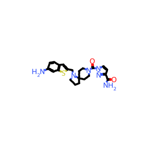 NC(=O)c1ccn(C(=O)N2CCC3(CCCN3Cc3cc4ccc(N)cc4s3)CC2)n1